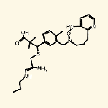 CCCN/C=C(\N)CSC(c1ccc(C)c(CN2CCCc3ncccc3NO2)c1)C(C)(C)C(=O)O